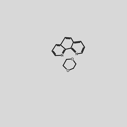 C1COCCO1.c1cnc2c(c1)ccc1cccnc12